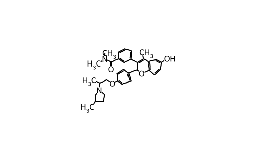 CC1=C(c2cccc(C(=O)N(C)C)c2)C(c2ccc(OCC(C)N3CCC(C)C3)cc2)Oc2ccc(O)cc21